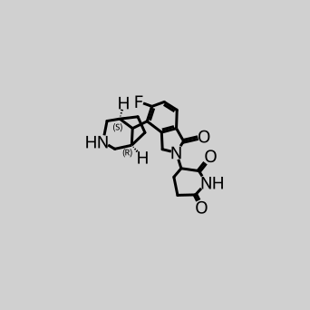 O=C1CCC(N2Cc3c(ccc(F)c3C3[C@@H]4CC[C@H]3CNC4)C2=O)C(=O)N1